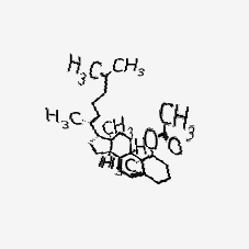 CC(=O)O[C@H]1CCCC2=CC=C3[C@@H]4CC[C@H]([C@H](C)CCCC(C)C)[C@@]4(C)CC[C@@H]3[C@]21C